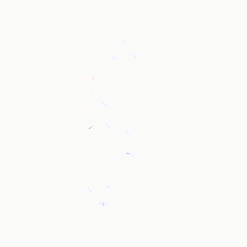 N=C(N)NCCC[C@H](NC(=O)[C@H](Cc1ccccc1)NC(=O)[C@H](Cc1ccccc1)NC(=O)[C@@H](N)CCCNC(=N)N)C(=O)O